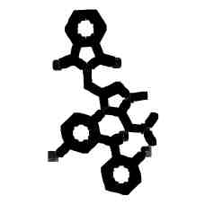 CN(C)CC1N(C)C=C(CN2C(=O)c3ccccc3C2=O)N1c1ccc(Br)cc1C(=O)c1ccccc1Cl